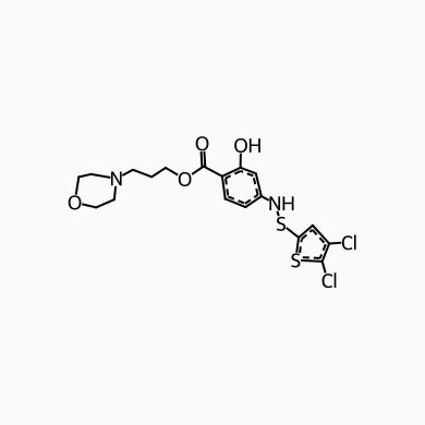 O=C(OCCCN1CCOCC1)c1ccc(NSc2cc(Cl)c(Cl)s2)cc1O